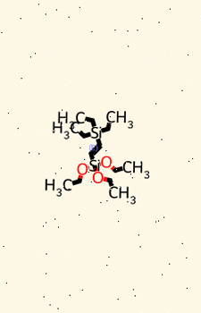 CCO[Si](/C=C/[Si](CC)(CC)CC)(OCC)OCC